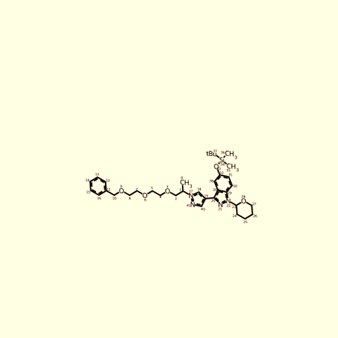 CC(COCCOCCOCc1ccccc1)n1cc(-c2nn(C3CCCCO3)c3ccc(O[Si](C)(C)C(C)(C)C)cc23)cn1